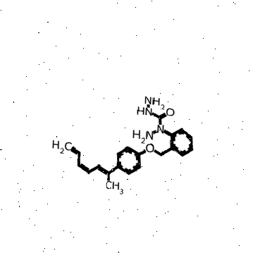 C=C/C=C\C=C(/C)c1ccc(OCc2ccccc2N(N)C(=O)NN)cc1